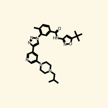 Cc1ccc(C(=O)Nc2cc(C(C)(C)C)on2)cc1-n1cc(-c2cncc(N3CCN(CC(C)C)CC3)c2)nn1